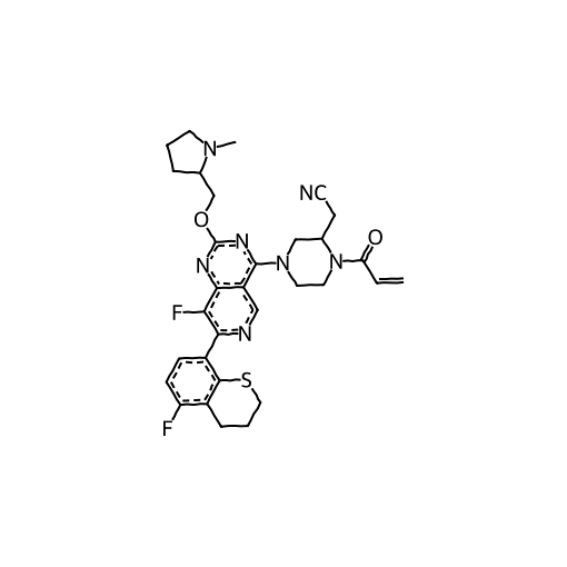 C=CC(=O)N1CCN(c2nc(OCC3CCCN3C)nc3c(F)c(-c4ccc(F)c5c4SCCC5)ncc23)CC1CC#N